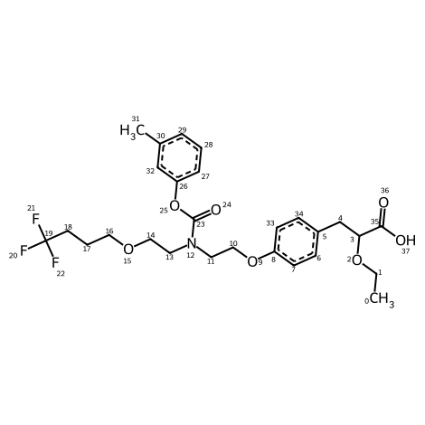 CCOC(Cc1ccc(OCCN(CCOCCCC(F)(F)F)C(=O)Oc2cccc(C)c2)cc1)C(=O)O